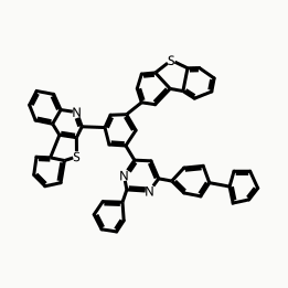 c1ccc(-c2ccc(-c3cc(-c4cc(-c5ccc6sc7ccccc7c6c5)cc(-c5nc6ccccc6c6c5sc5ccccc56)c4)nc(-c4ccccc4)n3)cc2)cc1